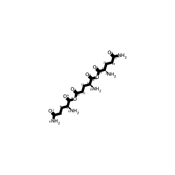 NC(=O)CC[C@H](N)C(=O)OC(=O)CC[C@H](N)C(=O)OC(=O)[C@@H](N)CCC(N)=O